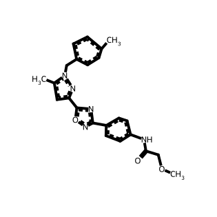 COCC(=O)Nc1ccc(-c2noc(-c3cc(C)n(Cc4ccc(C)cc4)n3)n2)cc1